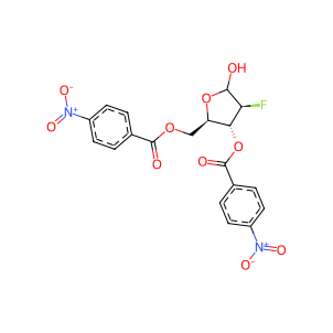 O=C(OC[C@H]1OC(O)[C@@H](F)[C@@H]1OC(=O)c1ccc([N+](=O)[O-])cc1)c1ccc([N+](=O)[O-])cc1